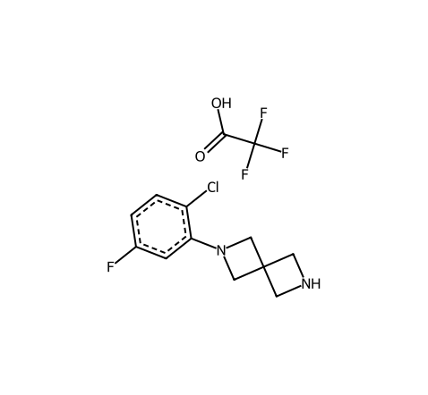 Fc1ccc(Cl)c(N2CC3(CNC3)C2)c1.O=C(O)C(F)(F)F